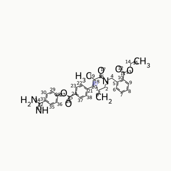 C=CCN(Cc1ccccc1C(=O)OCC)C(=O)/C(C)=C/c1ccc(C(=O)Oc2ccc(C(=N)N)cc2)cc1